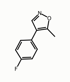 Cc1oncc1-c1ccc(F)cc1